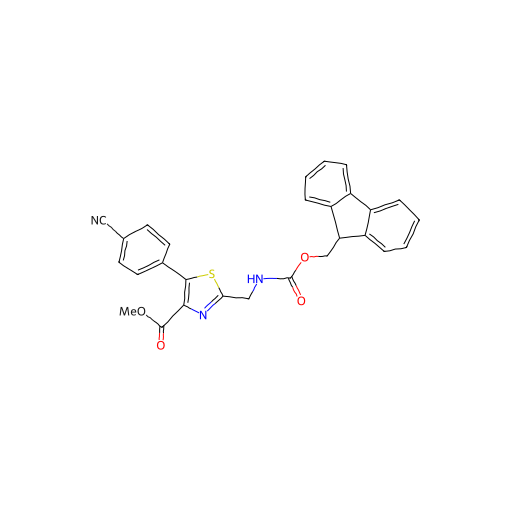 COC(=O)c1nc(CNC(=O)OCC2c3ccccc3-c3ccccc32)sc1-c1ccc(C#N)cc1